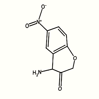 NC1C(=O)COc2ccc([N+](=O)[O-])cc21